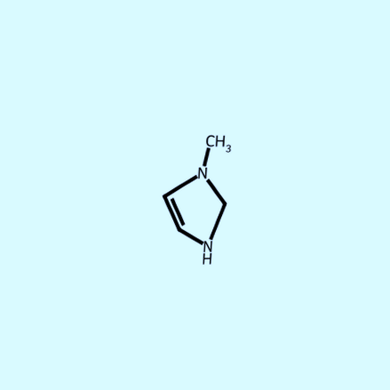 CN1C=CNC1